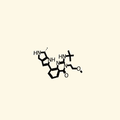 COCCn1c(NC(C)(C)C)nc2c(-c3cc4c([nH]3)[C@@H](C)NC4)cccc2c1=O